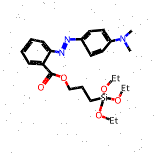 CCO[Si](CCCOC(=O)c1ccccc1N=Nc1ccc(N(C)C)cc1)(OCC)OCC